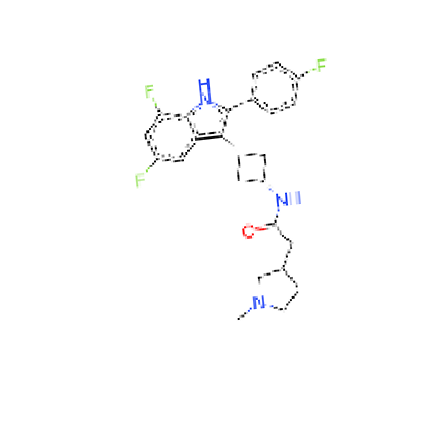 CN1CCC(CC(=O)N[C@H]2C[C@@H](c3c(-c4ccc(F)cc4)[nH]c4c(F)cc(F)cc43)C2)C1